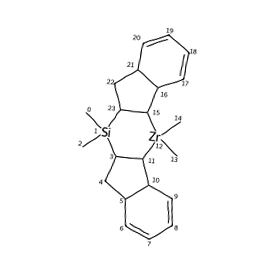 C[Si]1(C)C2CC3C=CC=CC3[CH]2[Zr]([CH3])([CH3])[CH]2C3C=CC=CC3CC21